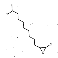 O=C(Cl)CCCCCCCCC1OC1Cl